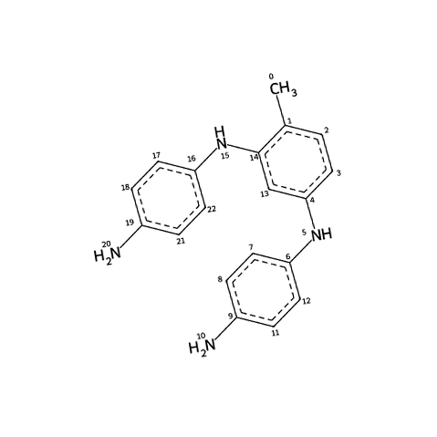 Cc1ccc(Nc2ccc(N)cc2)cc1Nc1ccc(N)cc1